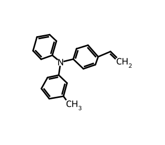 C=Cc1ccc(N(c2ccccc2)c2cccc(C)c2)cc1